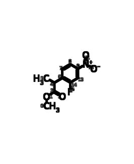 COC(=O)C(C)c1ccc([N+](=O)[O-])cc1F